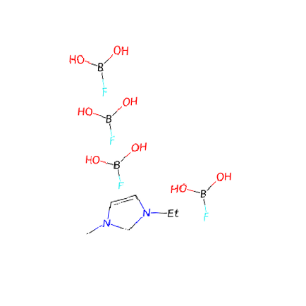 CCN1C=CN(C)C1.OB(O)F.OB(O)F.OB(O)F.OB(O)F